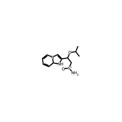 CC(C)OC(C[S+](N)[O-])C1=CN2C=CC=CC2N1